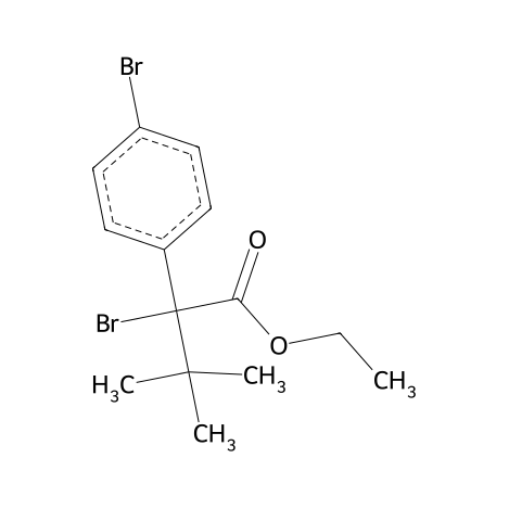 CCOC(=O)C(Br)(c1ccc(Br)cc1)C(C)(C)C